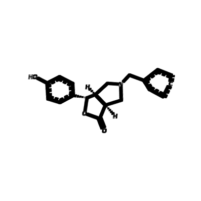 O=C1O[C@H](c2ccc(O)cc2)[C@H]2CN(Cc3ccccc3)C[C@@H]12